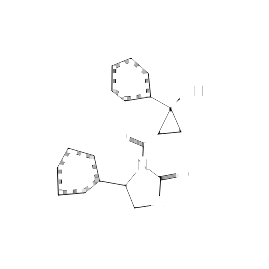 C[C@@]1(c2ccccc2)C[C@@H]1C(=O)N1C(=O)OCC1c1ccccc1